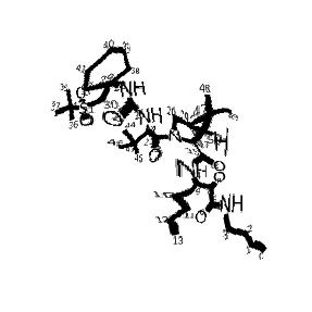 C=CCCNC(=O)C(=O)C(CCC=C)NC(=O)[C@@H]1[C@@H]2C(CN1C(=O)[C@@H](NC(=O)NC1(CS(=O)(=O)C(C)(C)C)CCCCC1)C(C)(C)C)C2(C)C